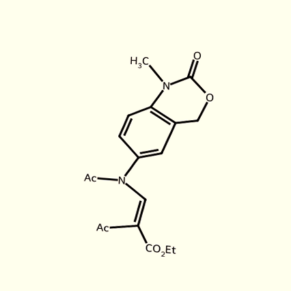 CCOC(=O)/C(=C/N(C(C)=O)c1ccc2c(c1)COC(=O)N2C)C(C)=O